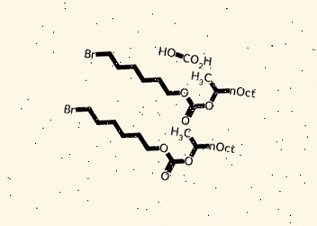 CCCCCCCCC(C)OC(=O)OCCCCCCBr.CCCCCCCCC(C)OC(=O)OCCCCCCBr.O=C(O)O